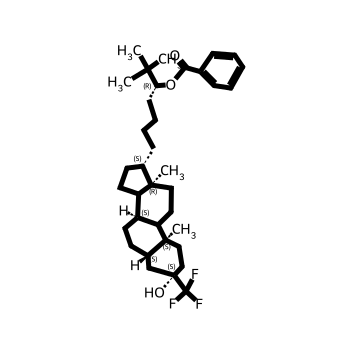 CC(C)(C)[C@@H](CCCC[C@H]1CCC2[C@@H]3CC[C@H]4C[C@](O)(C(F)(F)F)CC[C@]4(C)C3CC[C@@]21C)OC(=O)c1ccccc1